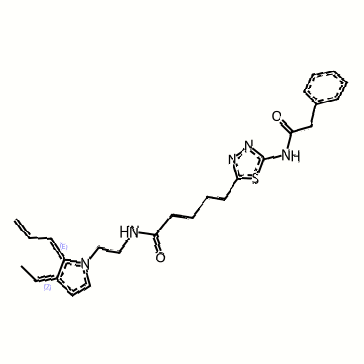 C=C/C=c1\c(=C/C)ccn1CCNC(=O)CCCCc1nnc(NC(=O)Cc2ccccc2)s1